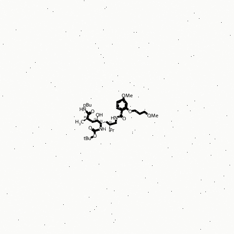 CCCCNC(=O)[C@H](C)C[C@H](O)[C@H](C[C@H](CNC(=O)c1ccc(OC)cc1OCCCOC)C(C)C)NC(=O)OC(C)(C)C